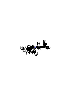 COc1c(C(C)(C)C)cc(C(=O)NC/C=C/CNC(=O)CCCCC(c2ccc(F)cc2)c2ccc(F)cc2)cc1C(C)(C)C